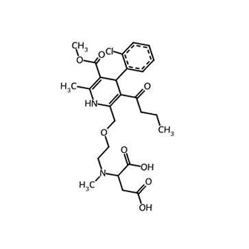 CCCC(=O)C1=C(COCCN(C)C(CC(=O)O)C(=O)O)NC(C)=C(C(=O)OC)C1c1ccccc1Cl